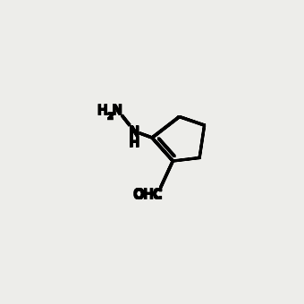 NNC1=C(C=O)CCC1